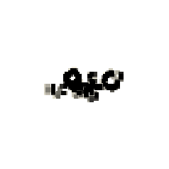 CC12CCC(C(OC(=O)CN3CCOCC3)C1)C2(C)C